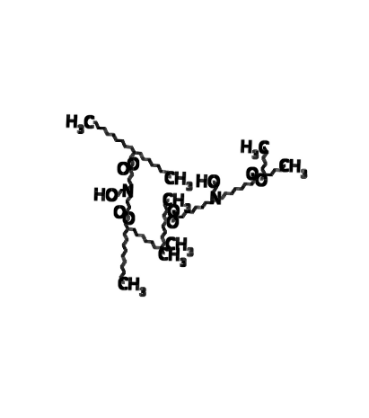 CCCCCCCCCCC(CCCCCCCC)COC(=O)CCCN(CCO)CCCC(=O)OCC(CCCCCCCCCC)CCCCCCC(C)C(C)CCCC(CCCC)OC(=O)CCCCCCCN(CCO)CCCCCCCC(=O)OC(CCCC)CCCCC